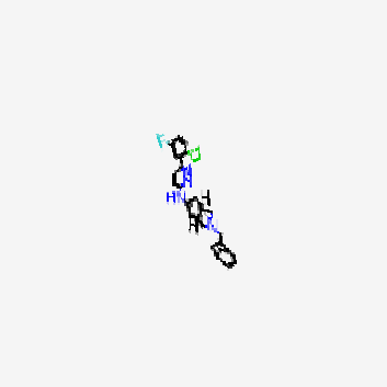 Fc1ccc(Cl)c(-c2ccc(N[C@@H]3C[C@@H]4CN(CC5CC6C=CC5C6)C[C@@H]4C3)nn2)c1